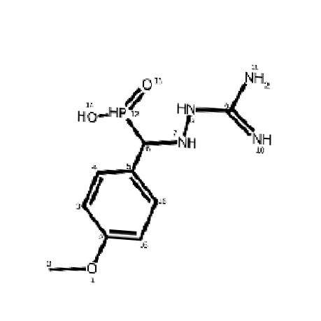 COc1ccc(C(NNC(=N)N)[PH](=O)O)cc1